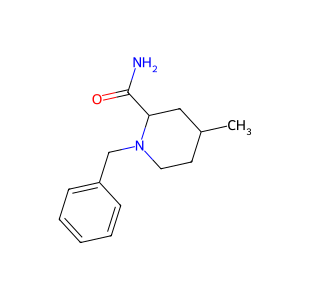 CC1CCN(Cc2ccccc2)C(C(N)=O)C1